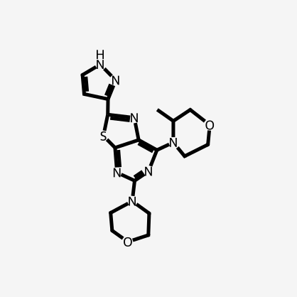 CC1COCCN1c1nc(N2CCOCC2)nc2sc(-c3cc[nH]n3)nc12